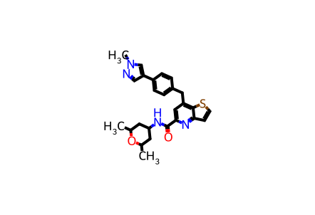 CC1CC(NC(=O)c2cc(Cc3ccc(-c4cnn(C)c4)cc3)c3sccc3n2)CC(C)O1